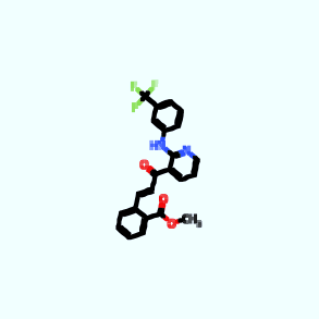 COC(=O)c1ccccc1/C=C/C(=O)c1cccnc1Nc1cccc(C(F)(F)F)c1